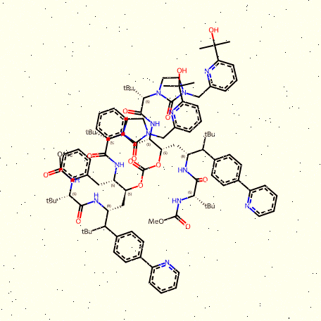 COC(=O)N[C@H](C(=O)N[C@H](C[C@H](OC(=O)O[C@@H](C[C@@H](NC(=O)[C@@H](NC(=O)OC)C(C)(C)C)C(c1ccc(-c2ccccn2)cc1)C(C)(C)C)[C@H](Cc1ccccc1)NC(=O)[C@@H](N1CCN(Cc2cccc(C(C)(C)O)n2)C1=O)C(C)(C)C)[C@H](Cc1ccccc1)NC(=O)[C@@H](N1CCN(Cc2cccc(C(C)(C)O)n2)C1=O)C(C)(C)C)C(c1ccc(-c2ccccn2)cc1)C(C)(C)C)C(C)(C)C